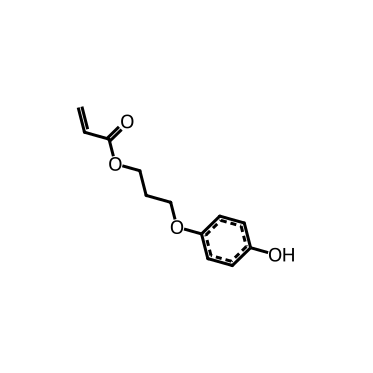 C=CC(=O)OCCCOc1ccc(O)cc1